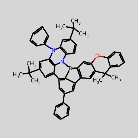 CC(C)(C)c1ccc2c(c1)N(c1ccccc1)c1cc(C(C)(C)C)cc3c1N2B1c2cc4c(cc2-c2cc(-c5ccccc5)cc-3c21)C(C)(C)c1ccccc1O4